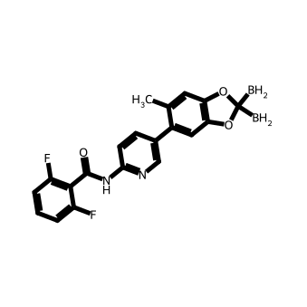 BC1(B)Oc2cc(C)c(-c3ccc(NC(=O)c4c(F)cccc4F)nc3)cc2O1